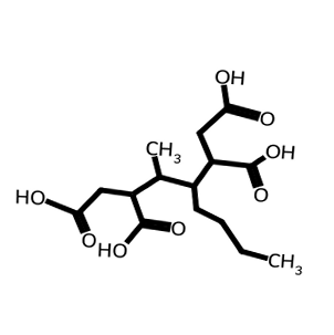 CCCCC(C(CC(=O)O)C(=O)O)C(C)C(CC(=O)O)C(=O)O